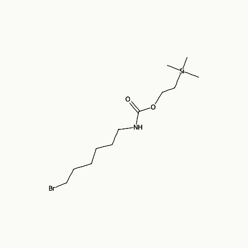 C[Si](C)(C)CCOC(=O)NCCCCCCBr